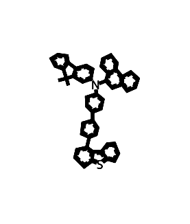 CC1(C)c2ccccc2-c2ccc(N(c3ccc(-c4ccc(-c5cccc6sc7ccccc7c56)cc4)cc3)c3cc4ccccc4c4ccccc34)cc21